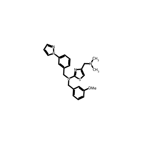 COc1cccc(CN(Cc2cccc(-n3cccn3)c2)c2nc(CN(C)C)cs2)c1